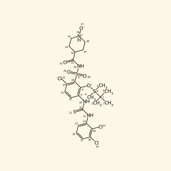 CC(C)(C)[Si](C)(C)Oc1c(NC(=S)Nc2cccc(Cl)c2Cl)ccc(Cl)c1S(=O)(=O)NC(=O)C1CC[NH+]([O-])CC1